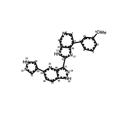 COc1cccc(-c2cncc3[nH]c(-c4n[nH]c5ccc(-c6cn[nH]c6)nc45)nc23)c1